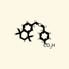 CC1(C)CCC(C)(C)c2cc(C=C=Cc3ccc(C(=O)O)cc3)ccc21